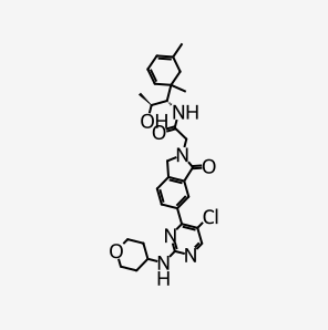 CC1=CC=CC(C)([C@H](NC(=O)CN2Cc3ccc(-c4nc(NC5CCOCC5)ncc4Cl)cc3C2=O)[C@H](C)O)C1